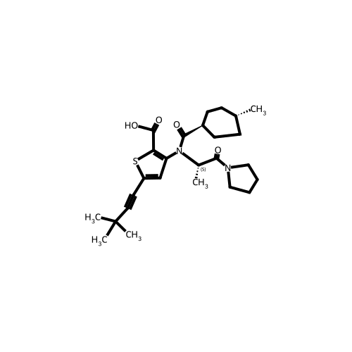 C[C@@H](C(=O)N1CCCC1)N(c1cc(C#CC(C)(C)C)sc1C(=O)O)C(=O)[C@H]1CC[C@H](C)CC1